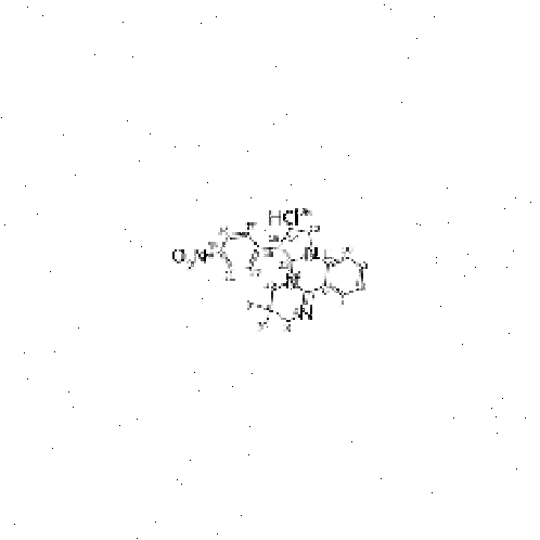 CC1(C)CN=C2c3ccccc3N3CCC(c4ccc([N+](=O)[O-])cc4)C3N2C1.Cl